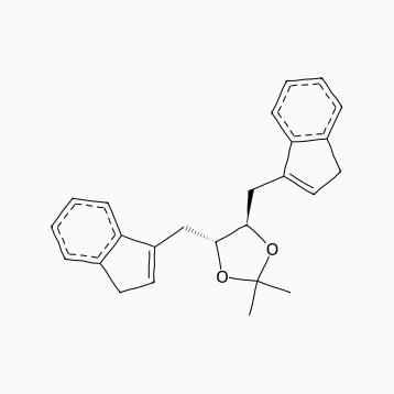 CC1(C)O[C@H](CC2=CCc3ccccc32)[C@@H](CC2=CCc3ccccc32)O1